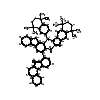 CC1(C)CCC(C)(C)c2cc(N3c4c(sc5cc6c(cc45)C(C)(C)CCC6(C)C)Bc4c(-c5cccc6c5[nH]c5ccc7ccccc7c56)cc5c(sc6ccccc65)c43)ccc21